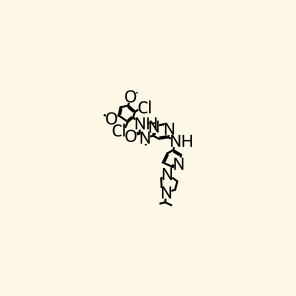 COc1cc(OC)c(Cl)c(NC(=O)N(C)c2cc(Nc3ccc(N4CCN(C(C)C)CC4)nc3)ncn2)c1Cl